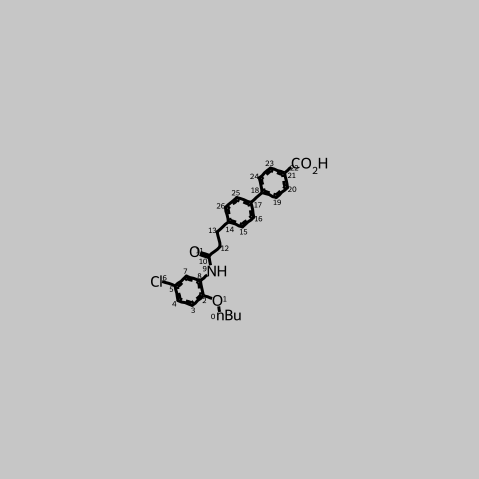 CCCCOc1ccc(Cl)cc1NC(=O)CCc1ccc(-c2ccc(C(=O)O)cc2)cc1